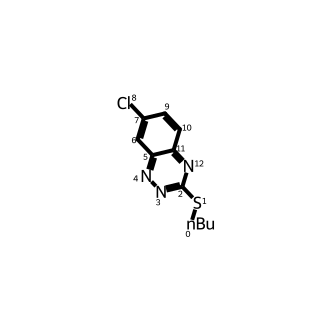 CCCCSc1nnc2cc(Cl)ccc2n1